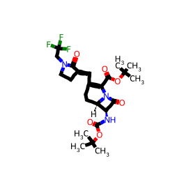 CC(C)(C)OC(=O)N[C@@H]1C(=O)N2C(C(=O)OC(C)(C)C)=C(/C=C3\CCN(CC(F)(F)F)C3=O)CC[C@H]12